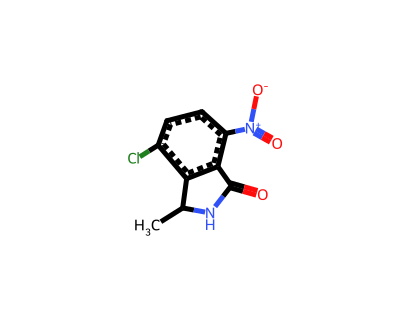 CC1NC(=O)c2c([N+](=O)[O-])ccc(Cl)c21